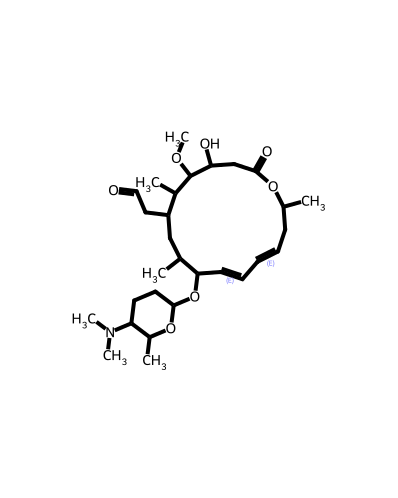 COC1C(O)CC(=O)OC(C)C/C=C/C=C/C(OC2CCC(N(C)C)C(C)O2)C(C)CC(CC=O)C1C